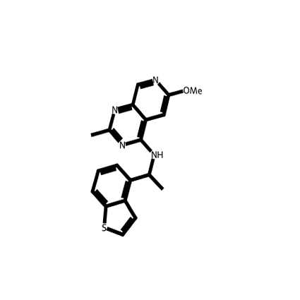 COc1cc2c(NC(C)c3cccc4sccc34)nc(C)nc2cn1